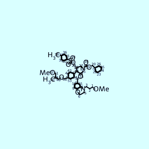 COCCCN1CCOc2ccc(CO[C@H]3CN(C(=O)OCc4ccccc4)C[C@@H](COS(=O)(=O)c4ccc(C)cc4)[C@@H]3c3ccc(COC[C@@H](C)COC)cc3)cc21